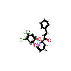 O=C(/C=C/c1ccccc1)C1(Oc2cc(Cl)c(Cl)cc2O)C=CC=CN1